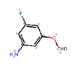 Nc1cc(F)cc(OC=O)c1